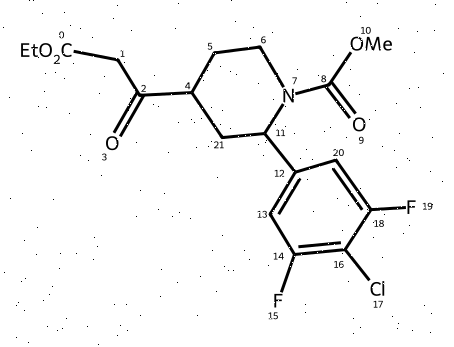 CCOC(=O)CC(=O)C1CCN(C(=O)OC)C(c2cc(F)c(Cl)c(F)c2)C1